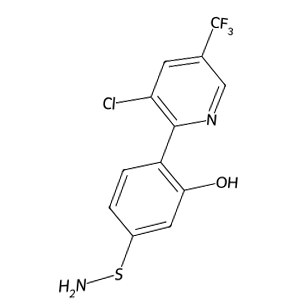 NSc1ccc(-c2ncc(C(F)(F)F)cc2Cl)c(O)c1